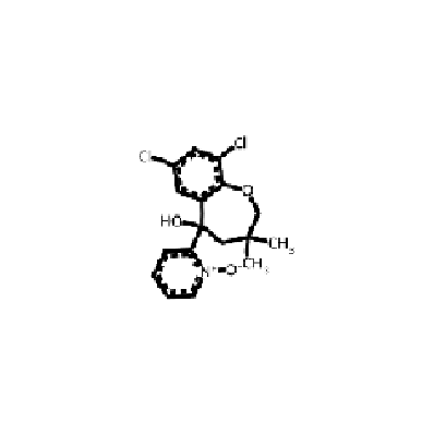 CC1(C)COc2c(Cl)cc(Cl)cc2C(O)(c2cccc[n+]2[O-])C1